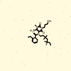 C=C(C1CC=CC=C1CC)N(CCC(C)(C)CC(C)(F)CC)c1c(N)n(C)c(=O)n(CCCO)c1=O